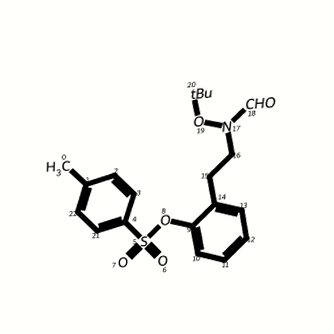 Cc1ccc(S(=O)(=O)Oc2ccccc2CCN(C=O)OC(C)(C)C)cc1